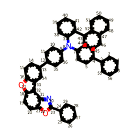 c1ccc(-c2ccc(N(c3ccc(-c4ccc5oc6ccc7oc(-c8ccccc8)nc7c6c5c4)cc3)c3ccccc3-c3cccc4ccccc34)cc2)cc1